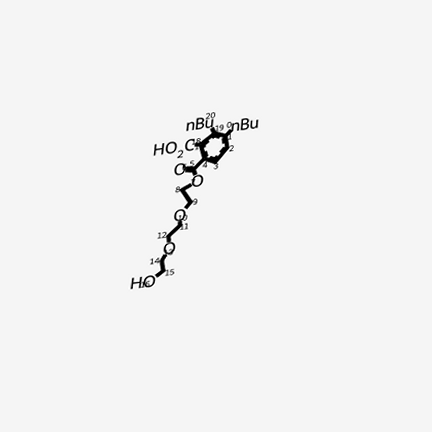 CCCCc1ccc(C(=O)OCCOCCOCCO)c(C(=O)O)c1CCCC